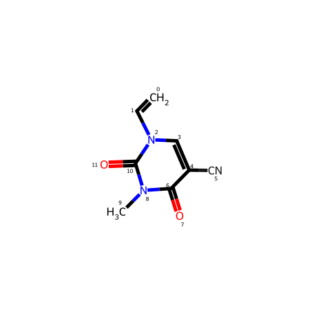 C=Cn1cc(C#N)c(=O)n(C)c1=O